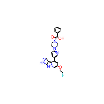 O=C([C@H](O)c1ccccc1)N1CCN(c2ccc(-c3cc(OCCF)cn4nc5[nH]ncc5c34)cn2)CC1